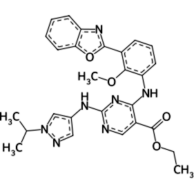 CCOC(=O)c1cnc(Nc2cnn(C(C)C)c2)nc1Nc1cccc(-c2nc3ccccc3o2)c1OC